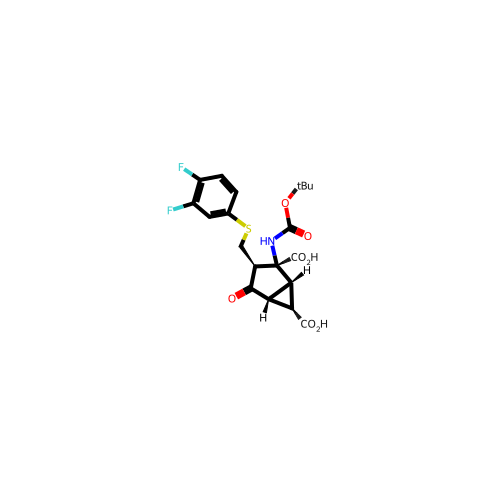 CC(C)(C)OC(=O)N[C@]1(C(=O)O)[C@@H]2[C@@H](C(=O)O)[C@@H]2C(=O)[C@H]1CSc1ccc(F)c(F)c1